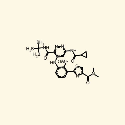 BC(B)(B)NC(=O)c1nnc(NC(=O)C2CC2)cc1Nc1cccc(-c2nc(C(=O)N(C)C)cs2)c1OC